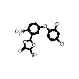 CC(C)C1OC(c2cc(Oc3ccc(Cl)cc3Cl)ccc2[N+](=O)[O-])OC1=O